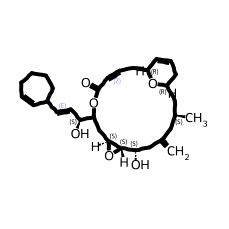 C=C1C[C@H](C)C[C@@H]2CC=C[C@@H](C/C=C\C(=O)OC([C@@H](O)/C=C/C3C=CCCCC3)C[C@@H]3O[C@H]3[C@@H](O)C1)O2